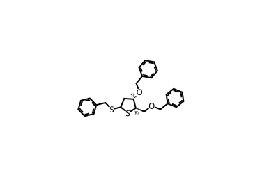 c1ccc(COC[C@H]2SC(SCc3ccccc3)C[C@@H]2OCc2ccccc2)cc1